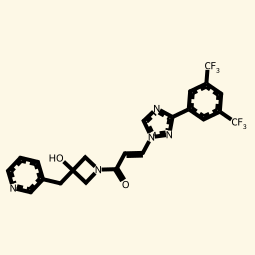 O=C(C=Cn1cnc(-c2cc(C(F)(F)F)cc(C(F)(F)F)c2)n1)N1CC(O)(Cc2cccnc2)C1